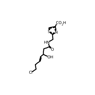 O=C(CC(O)/C=C/CCCl)NCc1nc(C(=O)O)cs1